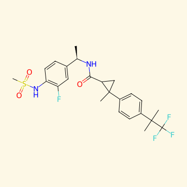 C[C@@H](NC(=O)C1CC1(C)c1ccc(C(C)(C)C(F)(F)F)cc1)c1ccc(NS(C)(=O)=O)c(F)c1